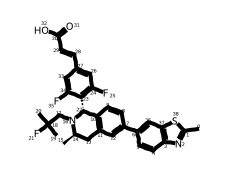 Cc1nc2ccc(-c3ccc4c(c3)C[C@@H](C)N(CC(C)(C)F)[C@@H]4c3c(F)cc(/C=C/C(=O)O)cc3F)cc2s1